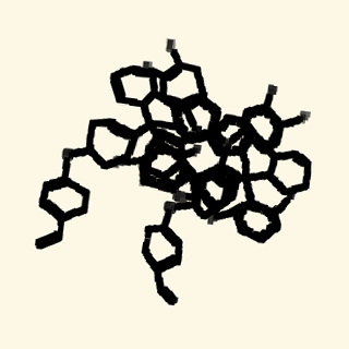 C=CC1=CC=C(OC2=CC=C(C3(c4c(F)cccc4F)c4cc(N(C5=CC(F)=C(F)CC5)C5=CCCC6Oc7cccc(N(c8ccc(F)c(F)c8)c8ccc9c(c8)C(C8=CCC(OC%10=CC=C(C=C)CC%10)CC8)(c8c(F)cccc8F)C8C=CC=CC98)c7C56)ccc4C4C=CCCC43)CC2)CC1